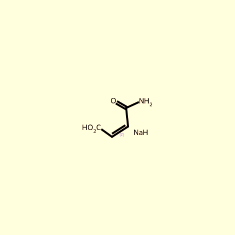 NC(=O)/C=C\C(=O)O.[NaH]